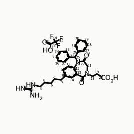 N=C(N)NCCCCCc1ccc2c(c1)C(=O)N(CCC(=O)O)CC(=O)N2C(c1ccccc1)c1ccccc1.O=C(O)C(F)(F)F